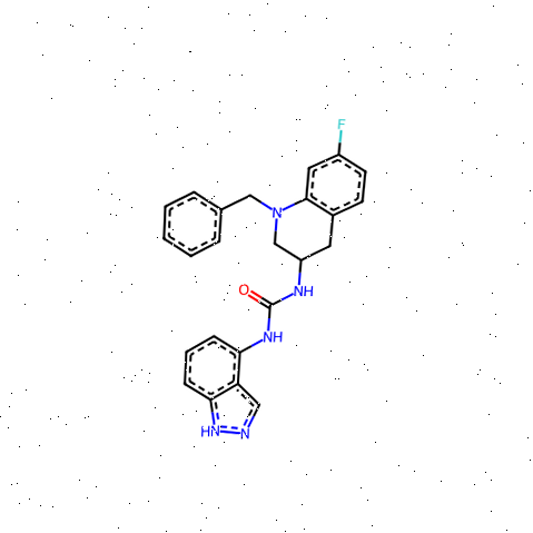 O=C(Nc1cccc2[nH]ncc12)NC1Cc2ccc(F)cc2N(Cc2ccccc2)C1